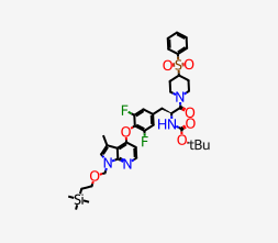 Cc1cn(COCC[Si](C)(C)C)c2nccc(Oc3c(F)cc(C[C@H](NC(=O)OC(C)(C)C)C(=O)N4CCC(S(=O)(=O)c5ccccc5)CC4)cc3F)c12